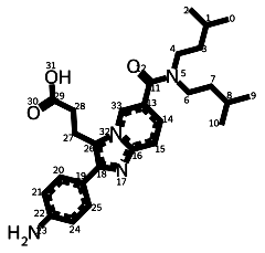 CC(C)CCN(CCC(C)C)C(=O)c1ccc2nc(-c3ccc(N)cc3)c(CCC(=O)O)n2c1